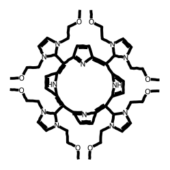 COCCN1C=CN(CCOC)C1c1c2nc(c(C3N(CCOC)C=CN3CCOC)c3ccc([nH]3)c(C3N(CCOC)C=CN3CCOC)c3nc(c(C4N(CCOC)C=CN4CCOC)c4ccc1[nH]4)C=C3)C=C2